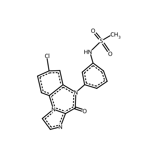 CS(=O)(=O)Nc1cccc(-n2c(=O)c3nccn3c3ccc(Cl)cc32)c1